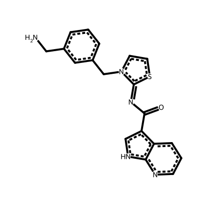 NCc1cccc(Cn2ccsc2=NC(=O)c2c[nH]c3ncccc23)c1